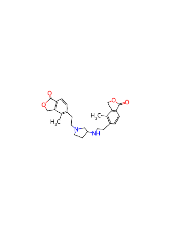 Cc1c(CCNC2CCN(CCc3ccc4c(c3C)COC4=O)C2)ccc2c1COC2=O